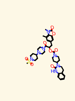 Cc1cc(CC(OC(=O)N2CCC(N3CCc4ccccc4NC3=O)CC2)C(=O)N2CCN(C3CCN(S(C)(=O)=O)CC3)CC2)cc2oc(=O)n(C)c12